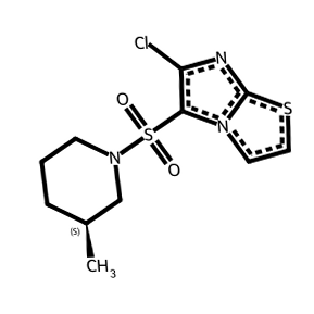 C[C@H]1CCCN(S(=O)(=O)c2c(Cl)nc3sccn23)C1